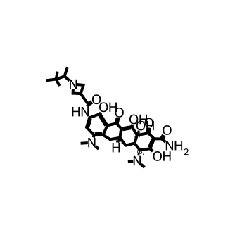 CC(N1CC(C(=O)Nc2cc(N(C)C)c3c(c2O)C(=O)C2=C(O)[C@]4(O)C(=O)C(C(N)=O)=C(O)[C@@H](N(C)C)C4C[C@@H]2C3)C1)C(C)(C)C